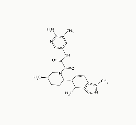 Cc1cc(NC(=O)C(=O)N2C[C@H](C)CC[C@H]2C2C=Cc3c(cnn3C)C2C)cnc1N